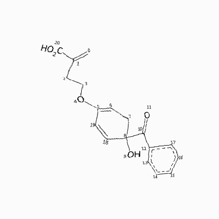 C=C(CCOC1=CCC(O)(C(=O)c2ccccc2)C=C1)C(=O)O